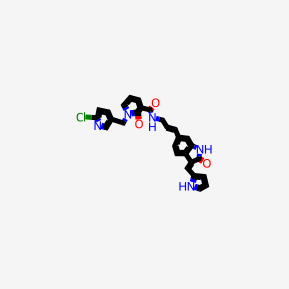 O=C1Nc2cc(/C=C/CNC(=O)c3cccn(Cc4ccc(Cl)nc4)c3=O)ccc2/C1=C/c1ccc[nH]1